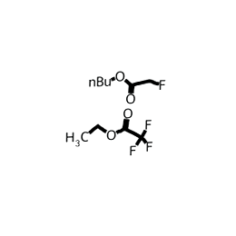 CCCCOC(=O)CF.CCOC(=O)C(F)(F)F